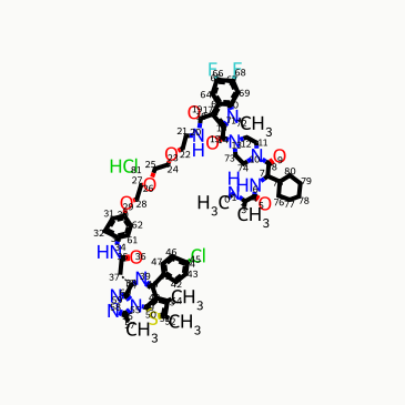 CNC(C)C(=O)NC(C(=O)N1CCN(C(=O)c2c(C(=O)NCCOCCOCCOc3ccc(NC(=O)C[C@@H]4N=C(c5ccc(Cl)cc5)c5c(sc(C)c5C)-n5c(C)nnc54)cc3)c3cc(F)c(F)cc3n2C)CC1)C1CCCCC1.Cl